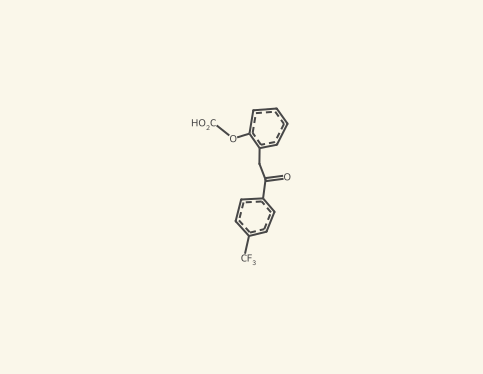 O=C(O)Oc1ccccc1CC(=O)c1ccc(C(F)(F)F)cc1